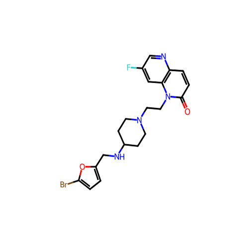 O=c1ccc2ncc(F)cc2n1CCN1CCC(NCc2ccc(Br)o2)CC1